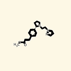 COC(=O)/C=C/c1ccc([C@@H]2CCCN2CCn2cccn2)cc1